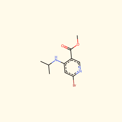 COC(=O)c1cnc(Br)cc1NC(C)C